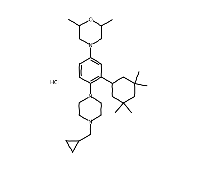 CC1CN(c2ccc(N3CCN(CC4CC4)CC3)c(C3CC(C)(C)CC(C)(C)C3)c2)CC(C)O1.Cl